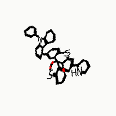 C1=CCNC(C2=CC3SC4C=CC(c5cccc6c5c5c(n6-c6ccccc6)CCC=C5)=CC4C4(c5ccccc5Sc5ccccc54)C3C=C2)=C1